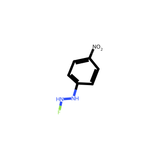 O=[N+]([O-])c1ccc(NNF)cc1